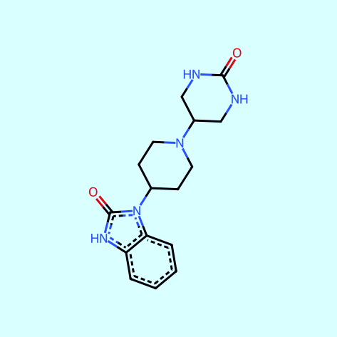 O=C1NCC(N2CCC(n3c(=O)[nH]c4ccccc43)CC2)CN1